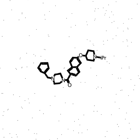 CC(C)N1CCC(Oc2ccc3cc(C(=O)N4CCN(Cc5ccccc5)CC4)ccc3c2)CC1